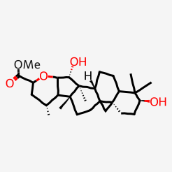 COC(=O)C1C[C@@H](C)C2C(O1)[C@H](O)[C@@]1(C)[C@@H]3CCC4C(C)(C)[C@@H](O)CC[C@@]45CC35CC[C@]21C